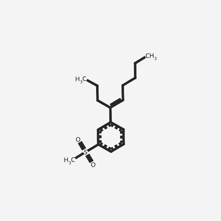 CCCC/C=C(\CCC)c1cccc(S(C)(=O)=O)c1